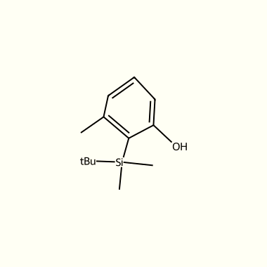 Cc1cccc(O)c1[Si](C)(C)C(C)(C)C